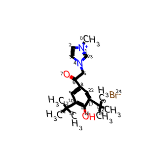 C[n+]1ccn(CC(=O)c2cc(C(C)(C)C)c(O)c(C(C)(C)C)c2)c1.[Br-]